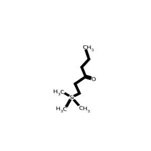 CCCC(=O)CC[Si](C)(C)C